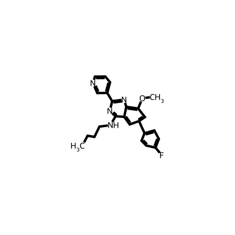 CCCCNc1nc(-c2cccnc2)nc2c(OC)cc(-c3ccc(F)cc3)cc12